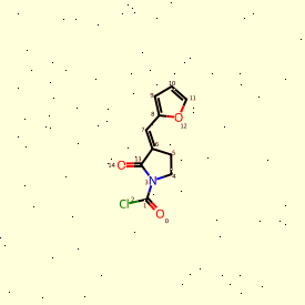 O=C(Cl)N1CCC(=Cc2ccco2)C1=O